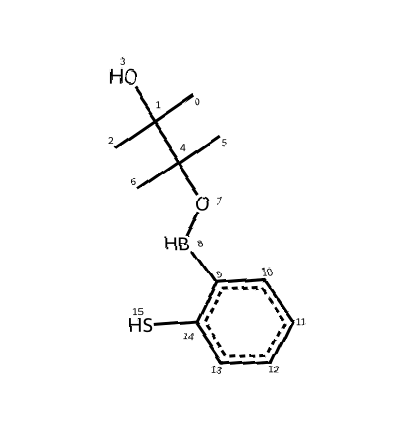 CC(C)(O)C(C)(C)OBc1ccccc1S